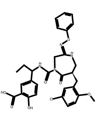 CCC(NC(=O)N1C/C(=N/Oc2ccccc2)NC[C@@H](Cc2cc(Cl)ccc2OC)C1=O)c1ccc(O)c(C(=O)O)c1